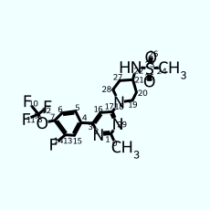 Cc1nc(-c2ccc(OC(F)(F)F)c(F)c2)cc(N2CCC(NS(C)(=O)=O)CC2)n1